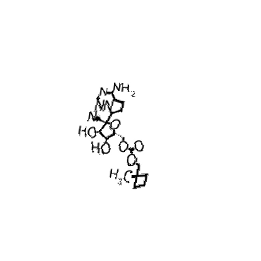 CC1(COC(=O)OC[C@H]2O[C@@](C#N)(C3CC=C4C(N)=NC=NN43)[C@H](O)[C@@H]2O)CCC1